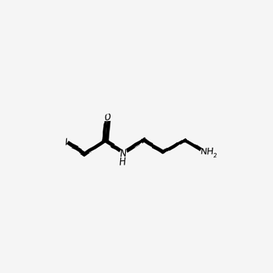 NCCCNC(=O)CI